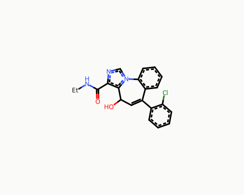 CCNC(=O)c1ncn2c1C(O)C=C(c1ccccc1Cl)c1ccccc1-2